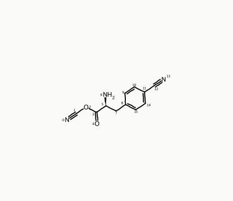 N#COC(=O)[C@@H](N)Cc1ccc(C#N)cc1